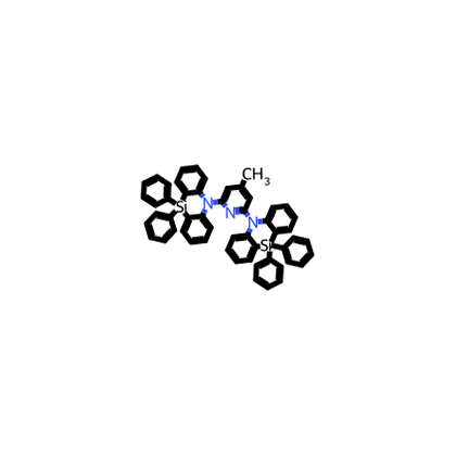 Cc1cc(N2c3ccccc3[Si](c3ccccc3)(c3ccccc3)c3ccccc32)nc(N2c3ccccc3[Si](c3ccccc3)(c3ccccc3)c3ccccc32)c1